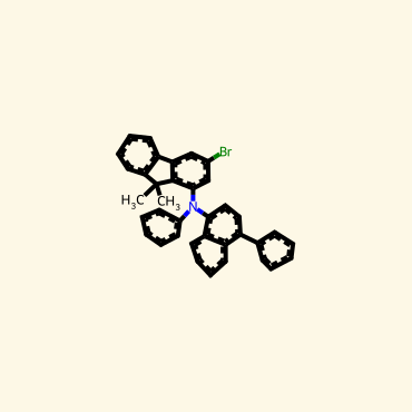 CC1(C)c2ccccc2-c2cc(Br)cc(N(c3ccccc3)c3ccc(-c4ccccc4)c4ccccc34)c21